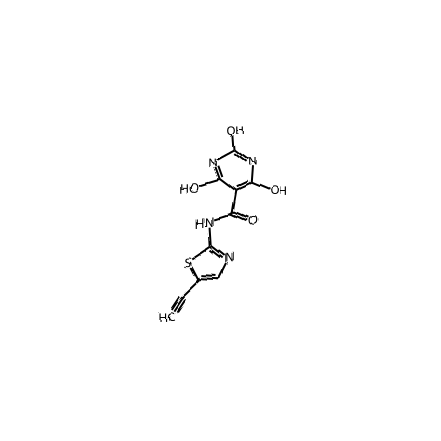 C#Cc1cnc(NC(=O)c2c(O)nc(O)nc2O)s1